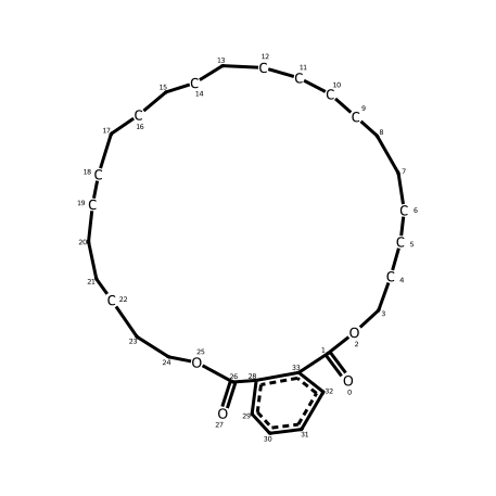 O=C1OCCCCCCCCCCCCCCCCCCCCCCOC(=O)c2ccccc21